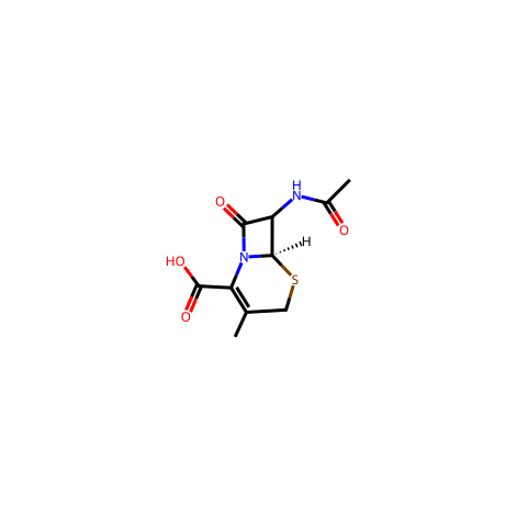 CC(=O)NC1C(=O)N2C(C(=O)O)=C(C)CS[C@H]12